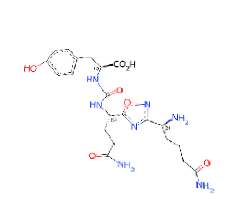 NC(=O)CCC[C@H](N)c1noc([C@H](CCC(N)=O)NC(=O)N[C@@H](Cc2ccc(O)cc2)C(=O)O)n1